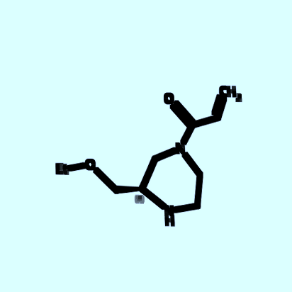 C=CC(=O)N1CCN[C@@H](COCC)C1